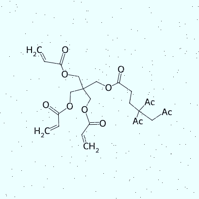 C=CC(=O)OCC(COC(=O)C=C)(COC(=O)C=C)COC(=O)CCC(CC(C)=O)(C(C)=O)C(C)=O